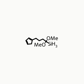 COC([SiH3])(CCCC1=CC=CC1)OC